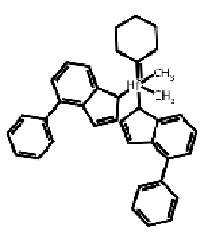 [CH3][Hf]([CH3])(=[C]1CCCCC1)([CH]1C=Cc2c(-c3ccccc3)cccc21)[CH]1C=Cc2c(-c3ccccc3)cccc21